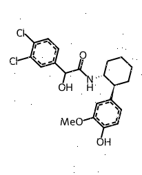 COc1cc([C@@H]2CCCC[C@H]2NC(=O)C(O)c2ccc(Cl)c(Cl)c2)ccc1O